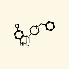 Nc1ccc(Cl)cc1NC1CCN(Cc2ccccc2)CC1